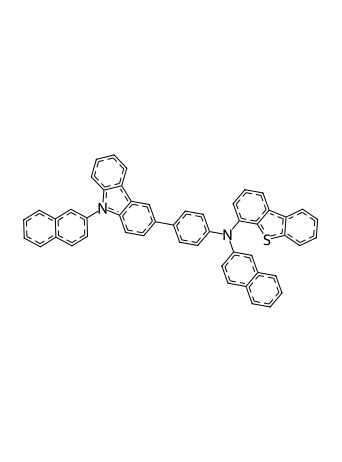 c1ccc2cc(N(c3ccc(-c4ccc5c(c4)c4ccccc4n5-c4ccc5ccccc5c4)cc3)c3cccc4c3sc3ccccc34)ccc2c1